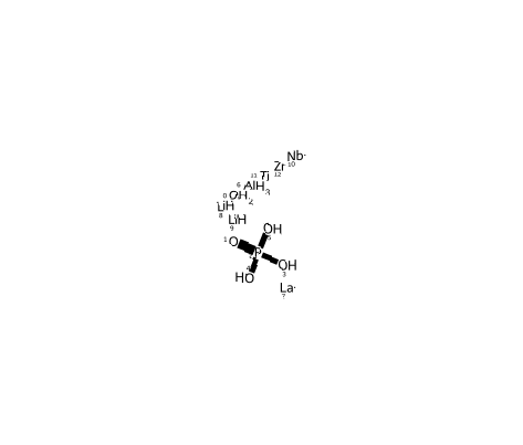 O.O=P(O)(O)O.[AlH3].[La].[LiH].[LiH].[Nb].[Ti].[Zr]